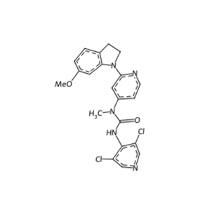 COc1ccc2c(c1)N(c1cc(N(C)C(=O)Nc3c(Cl)cncc3Cl)ccn1)CC2